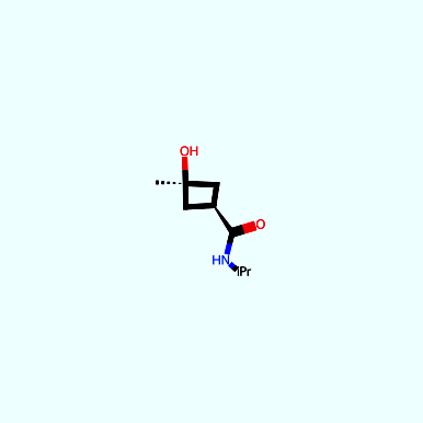 CC(C)NC(=O)[C@H]1C[C@@](C)(O)C1